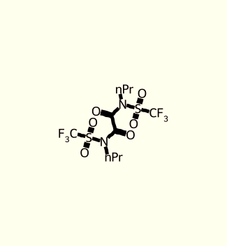 CCCN(C(=O)C(=O)N(CCC)S(=O)(=O)C(F)(F)F)S(=O)(=O)C(F)(F)F